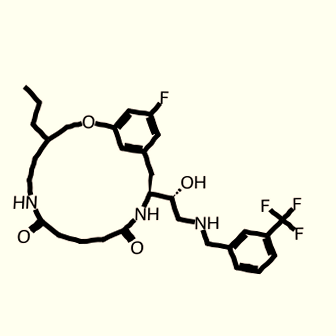 CCCC1CCNC(=O)CCCC(=O)N[C@H]([C@H](O)CNCc2cccc(C(F)(F)F)c2)Cc2cc(F)cc(c2)OC1